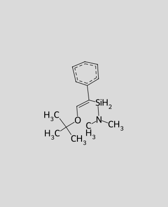 CN(C)[SiH2]C(=COC(C)(C)C)c1ccccc1